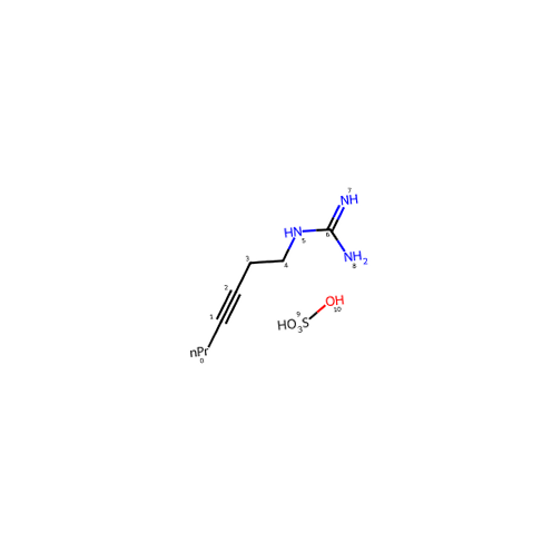 CCCC#CCCNC(=N)N.O=S(=O)(O)O